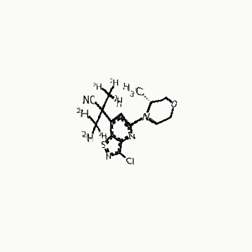 [2H]C([2H])([2H])C(C#N)(c1cc(N2CCOC[C@H]2C)nc2c(Cl)nsc12)C([2H])([2H])[2H]